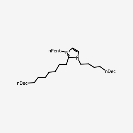 CCCCCCCCCCCCCCCCCc1n(CCCCCCCCCCCCCC)cc[n+]1CCCCC